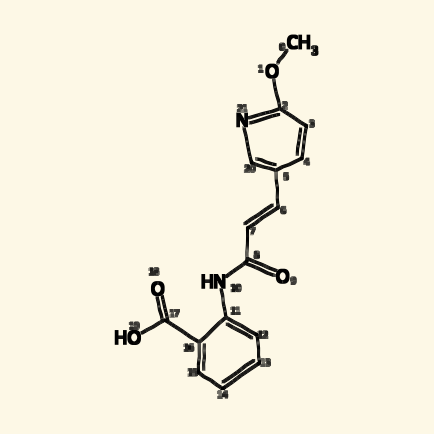 COc1ccc(C=CC(=O)Nc2ccccc2C(=O)O)cn1